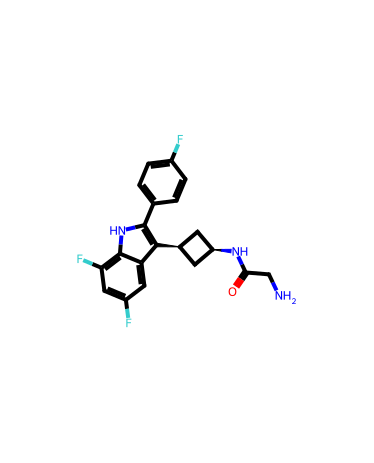 NCC(=O)N[C@H]1C[C@@H](c2c(-c3ccc(F)cc3)[nH]c3c(F)cc(F)cc32)C1